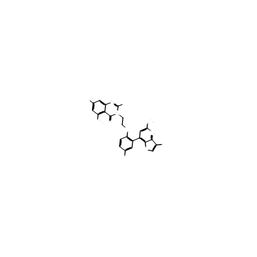 Cc1nc2cc(C(F)(F)F)cc(C#N)c2c(=O)n1CCOc1ccc(Cl)cc1-c1cc(C#N)nc2c(C(=O)O)csc12